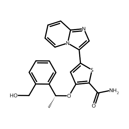 C[C@@H](Oc1cc(-c2cnc3ccccn23)sc1C(N)=O)c1ccccc1CO